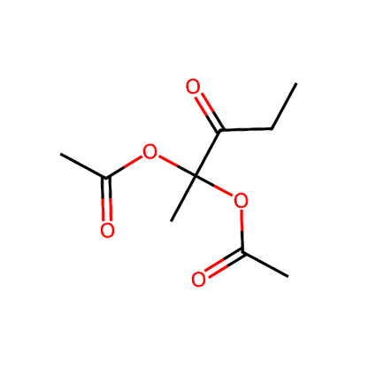 CCC(=O)C(C)(OC(C)=O)OC(C)=O